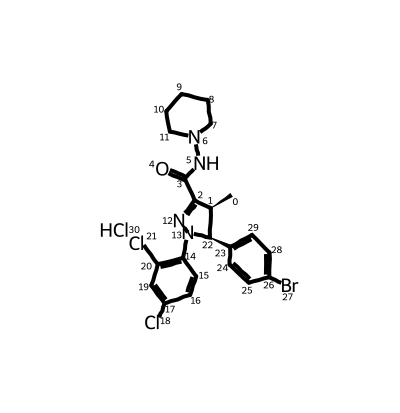 C[C@@H]1C(C(=O)NN2CCCCC2)=NN(c2ccc(Cl)cc2Cl)[C@@H]1c1ccc(Br)cc1.Cl